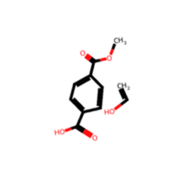 C=CO.COC(=O)c1ccc(C(=O)O)cc1